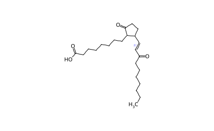 CCCCCCCC(=O)/C=C/C1CCC(=O)C1CCCCCCCC(=O)O